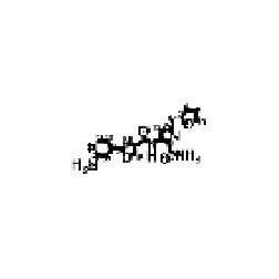 NC(=O)c1nn(C[C@@H]2CCCO2)cc1NC(=O)c1coc(-c2ccnc(N)c2)n1